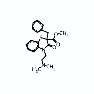 COC(=O)C1(Cc2ccccc2)Sc2ccccc2N(CCN(C)C)C1=O